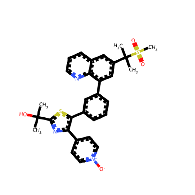 CC(C)(O)c1nc(-c2cc[n+]([O-])cc2)c(-c2cccc(-c3cc(C(C)(C)S(C)(=O)=O)cc4cccnc34)c2)s1